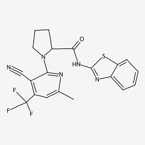 Cc1cc(C(F)(F)F)c(C#N)c(N2CCCC2C(=O)Nc2nc3ccccc3s2)n1